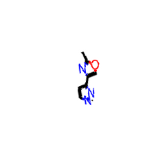 Cc1nc(C2=N[N]C=C2)co1